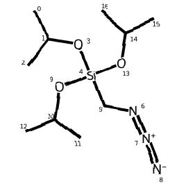 CC(C)O[Si](CN=[N+]=[N-])(OC(C)C)OC(C)C